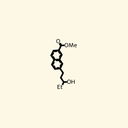 CCC(O)CCc1ccc2ccc(C(=O)OC)cc2c1